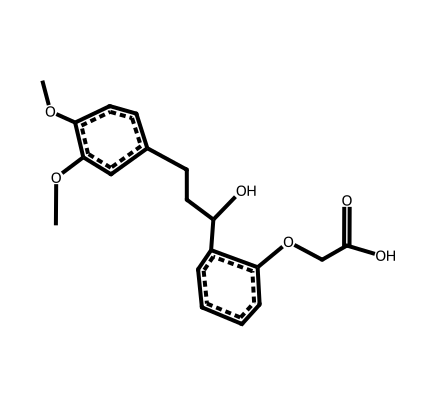 COc1ccc(CCC(O)c2ccccc2OCC(=O)O)cc1OC